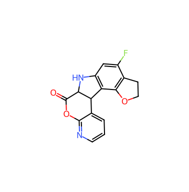 O=C1Oc2ncccc2C2c3c(cc(F)c4c3OCC4)NC12